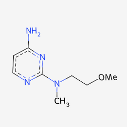 COCCN(C)c1nccc(N)n1